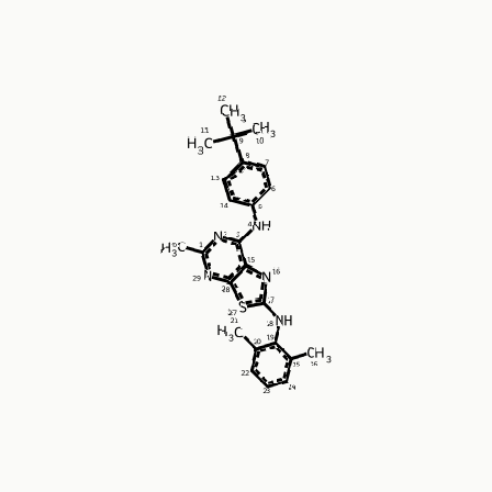 Cc1nc(Nc2ccc(C(C)(C)C)cc2)c2nc(Nc3c(C)cccc3C)sc2n1